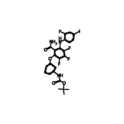 CC(C)(C)OC(=O)Nc1cccc(Oc2c(F)c(F)c(F)c(Nc3ccc(I)cc3F)c2C(N)=O)c1